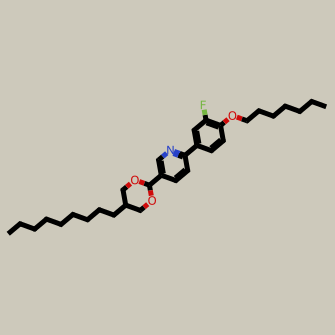 CCCCCCCCCC1COC(c2ccc(-c3ccc(OCCCCCCC)c(F)c3)nc2)OC1